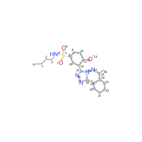 CCCCNS(=O)(=O)c1ccc(OC)c(-c2nnc3c4ccccc4c(C)nn23)c1